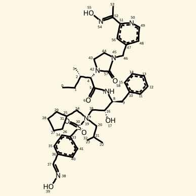 CC[C@H](C)[C@@H](C(=O)N[C@@H](Cc1ccccc1)[C@H](O)C[N+](CC(C)C)(CC1CCCC1)S(=O)(=O)c1ccc(/C=N/O)cc1)N1CCN(Cc2ccnc(C(C)=NO)c2)C1=O